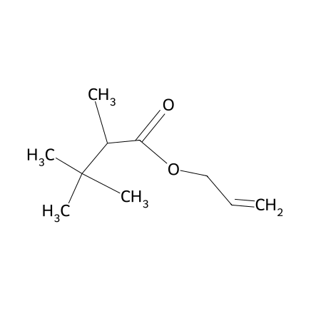 C=CCOC(=O)C(C)C(C)(C)C